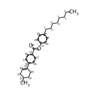 CCCCCCCCc1ccc(OC(=O)c2ccc(C3=CCC(C)CC3)cc2)cc1